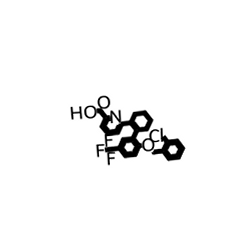 O=C(O)c1cccc(C2=C(c3cc(C(F)(F)F)ccc3OCc3ccccc3Cl)CCCC2)n1